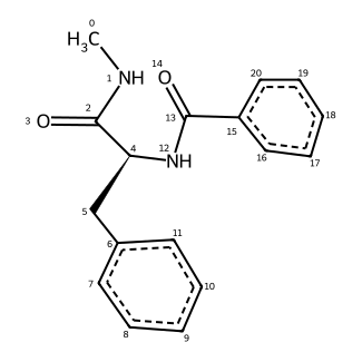 CNC(=O)[C@H](Cc1ccccc1)NC(=O)c1ccccc1